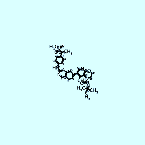 Cc1c(N2CCc3cnc(Nc4ccc(C(C)S(C)(=O)=O)cc4)nc3C2)cnc2c1N(C(=O)OC(C)(C)C)CCO2